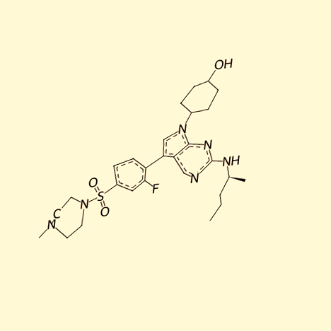 CCC[C@H](C)Nc1ncc2c(-c3ccc(S(=O)(=O)N4CCN(C)CC4)cc3F)cn(C3CCC(O)CC3)c2n1